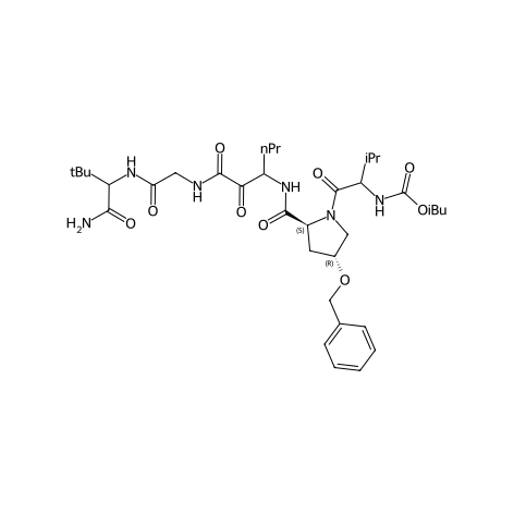 CCCC(NC(=O)[C@@H]1C[C@@H](OCc2ccccc2)CN1C(=O)C(NC(=O)OCC(C)C)C(C)C)C(=O)C(=O)NCC(=O)NC(C(N)=O)C(C)(C)C